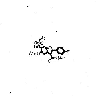 CNC(=O)c1c(-c2ccc(F)cc2)oc2cc(NS(=O)(=O)CC(C)=O)c(OC)cc12